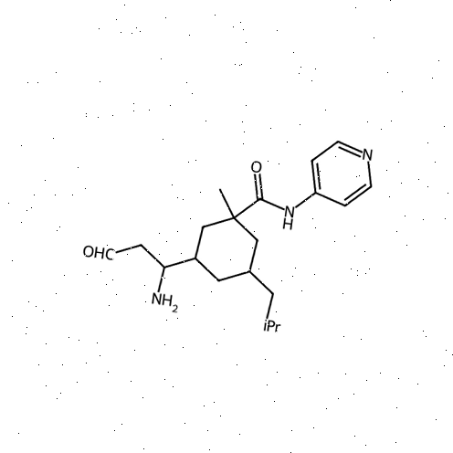 CC(C)CC1CC(C(N)CC=O)CC(C)(C(=O)Nc2ccncc2)C1